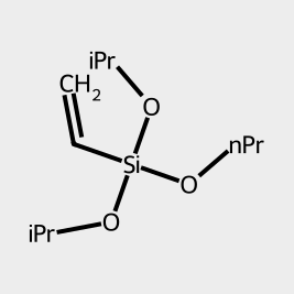 C=C[Si](OCCC)(OC(C)C)OC(C)C